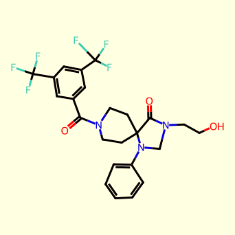 O=C(c1cc(C(F)(F)F)cc(C(F)(F)F)c1)N1CCC2(CC1)C(=O)N(CCO)CN2c1ccccc1